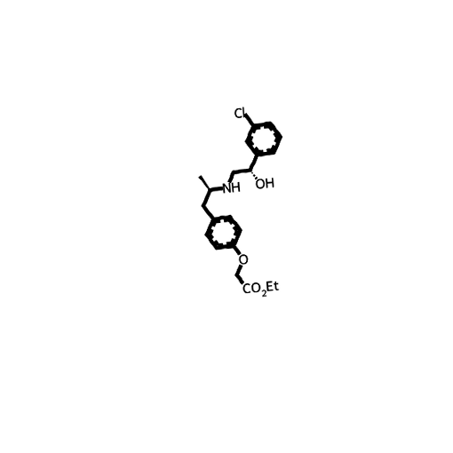 CCOC(=O)COc1ccc(C[C@@H](C)NC[C@@H](O)c2cccc(Cl)c2)cc1